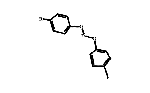 CCc1ccc([O][Zr][O]c2ccc(CC)cc2)cc1